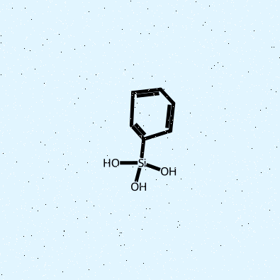 O[Si](O)(O)c1cc[c]cc1